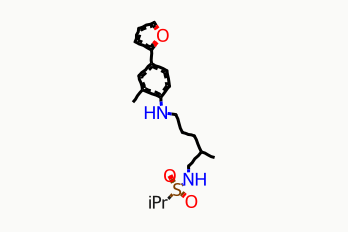 Cc1cc(-c2ccco2)ccc1NCCCC(C)CNS(=O)(=O)C(C)C